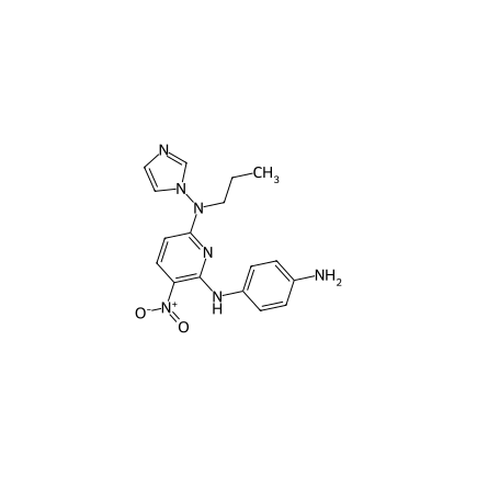 CCCN(c1ccc([N+](=O)[O-])c(Nc2ccc(N)cc2)n1)n1ccnc1